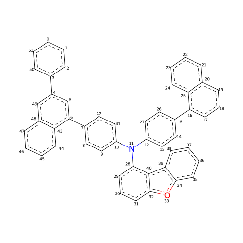 c1ccc(-c2cc(-c3ccc(N(c4ccc(-c5cccc6ccccc56)cc4)c4cccc5oc6ccccc6c45)cc3)c3ccccc3c2)cc1